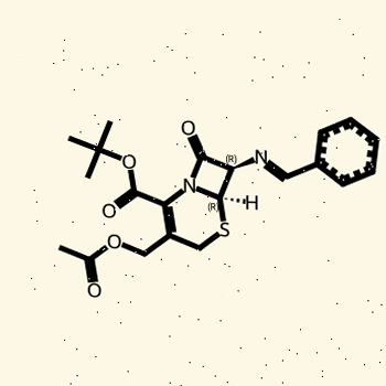 CC(=O)OCC1=C(C(=O)OC(C)(C)C)N2C(=O)[C@@H](N=Cc3ccccc3)[C@H]2SC1